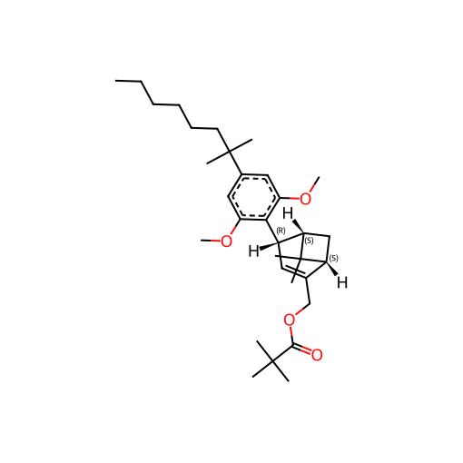 CCCCCCC(C)(C)c1cc(OC)c([C@H]2C=C(COC(=O)C(C)(C)C)[C@H]3C[C@@H]2C3(C)C)c(OC)c1